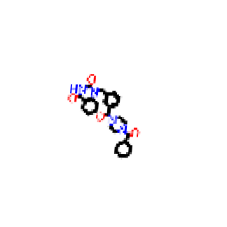 O=C(c1cccc(Cn2c3c(c(=O)[nH]c2=O)CCCC3)c1)N1CCN(C(=O)C2CCCCC2)CC1